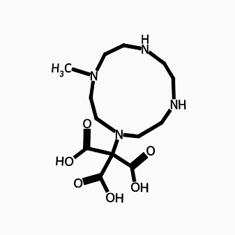 CN1CCNCCNCCN(C(C(=O)O)(C(=O)O)C(=O)O)CC1